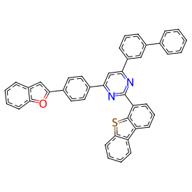 c1ccc(-c2cccc(-c3cc(-c4ccc(-c5cc6ccccc6o5)cc4)nc(-c4cccc5c4sc4ccccc45)n3)c2)cc1